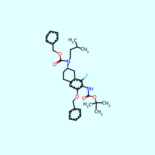 CC(C)CCN(C(=O)OCc1ccccc1)[C@@H]1CCc2cc(OCc3ccccc3)c(NC(=O)OC(C)(C)C)c(F)c2C1